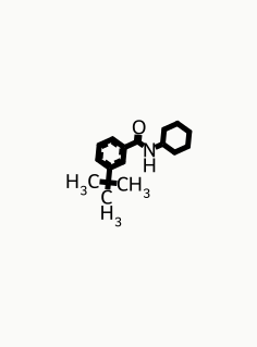 CC(C)(C)c1cccc(C(=O)NC2CCCCC2)c1